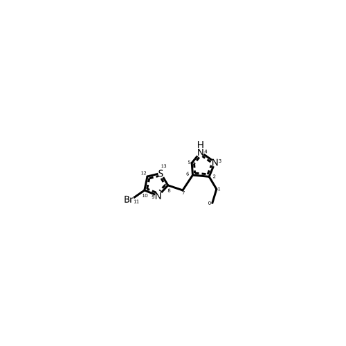 CCc1n[nH]cc1Cc1nc(Br)cs1